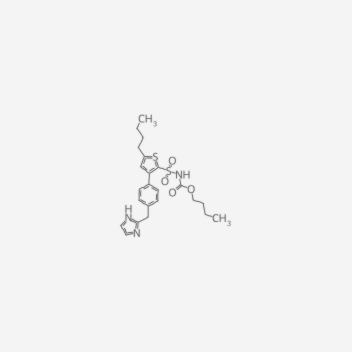 CCCCOC(=O)NS(=O)(=O)c1sc(CCCC)cc1-c1ccc(Cc2ncc[nH]2)cc1